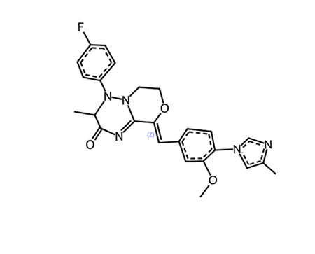 COc1cc(/C=C2\OCCN3C2=NC(=O)C(C)N3c2ccc(F)cc2)ccc1-n1cnc(C)c1